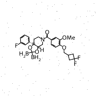 BC1(B)O[C@@H]2CN(C(=O)c3ccc(OCC4CC(F)(F)C4)c(OC)c3)CC[C@]2(c2cccc(F)c2)O1